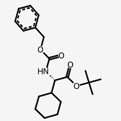 CC(C)(C)OC(=O)[C@@H](NC(=O)OCc1ccccc1)C1CCCCC1